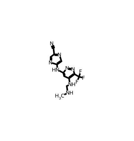 CNCNc1cc(Nc2cnc(C#N)cn2)nnc1C(F)(F)F